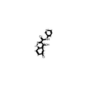 O=C(Nc1cccnc1)c1nnc2ccc(Cl)cc2c1O